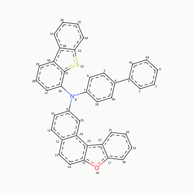 c1ccc(-c2ccc(N(c3ccc4ccc5oc6ccccc6c5c4c3)c3cccc4c3sc3ccccc34)cc2)cc1